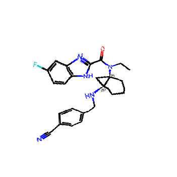 CCN(C(=O)c1nc2cc(F)ccc2[nH]1)[C@@]12CCC[C@]1(NCc1ccc(C#N)cc1)C2